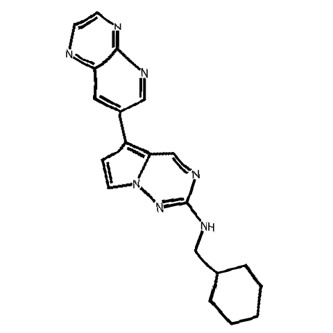 c1cnc2ncc(-c3ccn4nc(NCC5CCCCC5)ncc34)cc2n1